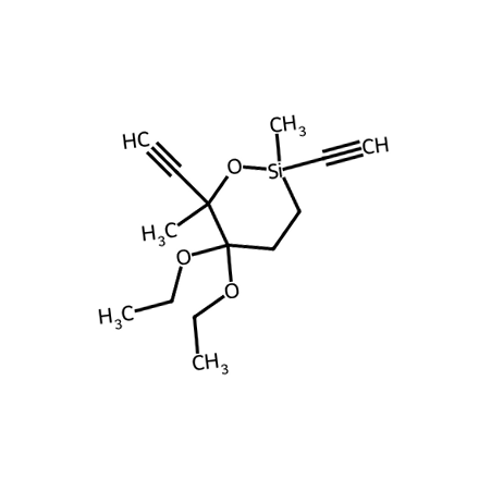 C#CC1(C)O[Si](C)(C#C)CCC1(OCC)OCC